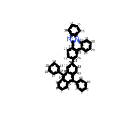 c1ccc(-c2c3ccccc3c(-c3ccccc3)c3cc(-c4ccc5c(c4)c4ccccc4n4c6ccccc6nc54)ccc23)cc1